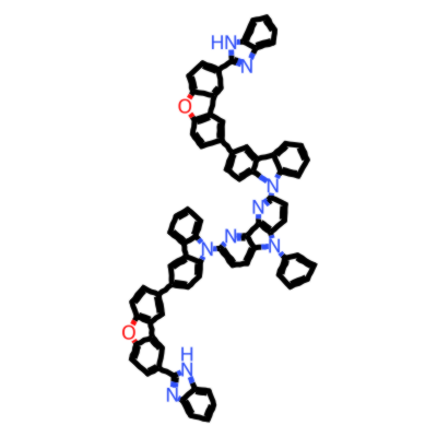 c1ccc(-n2c3ccc(-n4c5ccccc5c5cc(-c6ccc7oc8ccc(-c9nc%10ccccc%10[nH]9)cc8c7c6)ccc54)nc3c3nc(-n4c5ccccc5c5cc(-c6ccc7oc8ccc(-c9nc%10ccccc%10[nH]9)cc8c7c6)ccc54)ccc32)cc1